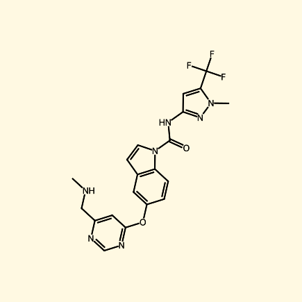 CNCc1cc(Oc2ccc3c(ccn3C(=O)Nc3cc(C(F)(F)F)n(C)n3)c2)ncn1